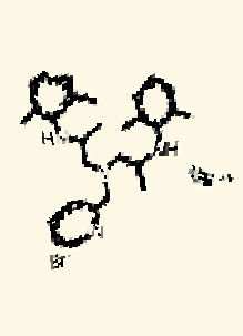 Cc1cccc(C)c1NC(C)CN(Cc1ccccn1)CC(C)Nc1c(C)cccc1C.[Br-].[Br-].[Co+2]